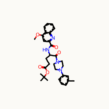 COc1cc(C(=O)NC(CCC(=O)OC(C)(C)C)C(=O)N2CCN(c3cccc(C)c3)CC2)nc2ccccc12